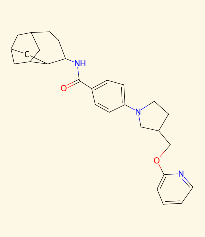 O=C(NC1CCC2CC3CC(C2)C1C3)c1ccc(N2CCC(COc3ccccn3)C2)cc1